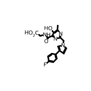 Cc1nc(Cn2ccc(-c3ccc(F)cc3)c2)nc(C(=O)NCC(=O)O)c1O